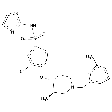 Cc1cccc(CN2CC[C@@H](Oc3ccc(S(=O)(=O)Nc4nccs4)cc3Cl)[C@H](C)C2)c1